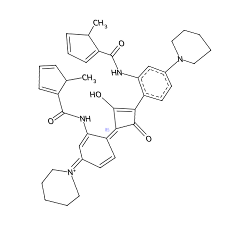 CC1C=CC=C1C(=O)NC1=CC(=[N+]2CCCCC2)C=C/C1=C1\C(=O)C(c2ccc(N3CCCCC3)cc2NC(=O)C2=CC=CC2C)=C1O